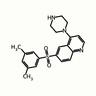 Cc1cc(C)cc(S(=O)(=O)c2ccc3nccc(N4CCNCC4)c3c2)c1